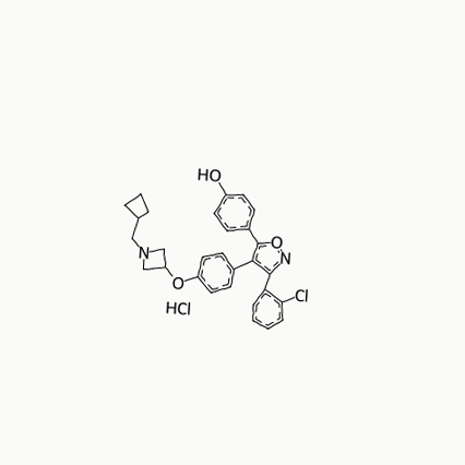 Cl.Oc1ccc(-c2onc(-c3ccccc3Cl)c2-c2ccc(OC3CN(CC4CCC4)C3)cc2)cc1